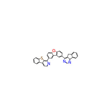 c1ccc2c(c1)Cc1c(-c3ccc4oc5ccc(-c6nccc7c6sc6ccccc67)cc5c4c3)ncnc1-2